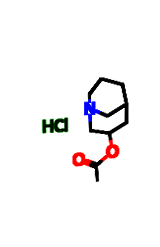 CC(=O)OC1CC2CCCN(C2)C1.Cl